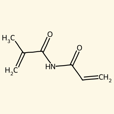 C=CC(=O)NC(=O)C(=C)C